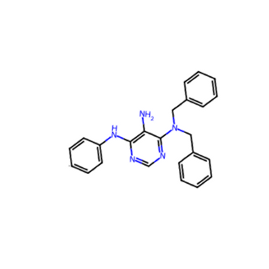 Nc1c(Nc2cc[c]cc2)ncnc1N(Cc1ccccc1)Cc1ccccc1